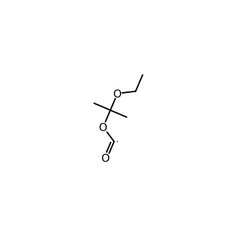 CCOC(C)(C)O[C]=O